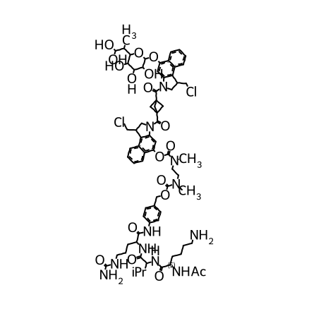 CC(=O)N[C@@H](CCCCN)C(=O)NC(C(=O)NC(CCCNC(N)=O)C(=O)Nc1ccc(COC(=O)N(C)CCN(C)C(=O)Oc2cc3c(c4ccccc24)C(CCl)CN3C(=O)C23CC(C(=O)N4CC(CCl)c5c4cc(OC4OC(C(C)C(O)O)C(O)C(O)C4O)c4ccccc54)(C2)C3)cc1)C(C)C